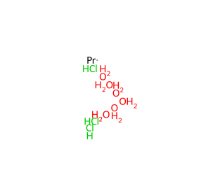 Cl.Cl.Cl.O.O.O.O.O.O.[Pr]